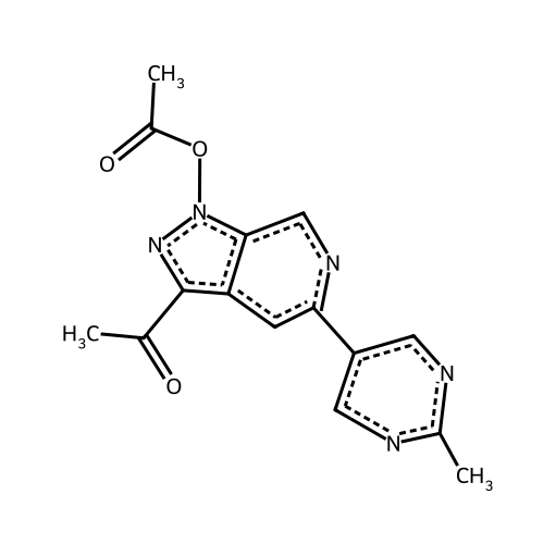 CC(=O)On1nc(C(C)=O)c2cc(-c3cnc(C)nc3)ncc21